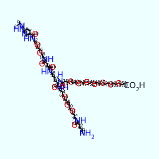 CC(C)=NNc1ccc(C(=O)NCCOCCOCCNC(=O)CCC(=O)NCCCCC(NC(=O)CCOCCOCCOCCOCCOCCOCCOCCC(=O)O)C(=O)NCCCOCCOCCOCCCNC(=O)CCCN)cn1